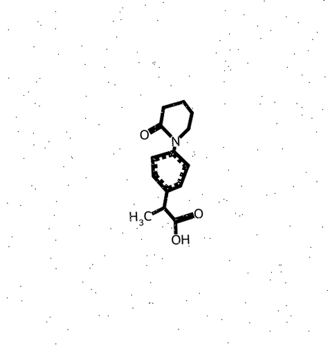 CC(C(=O)O)c1ccc(N2CCCCC2=O)cc1